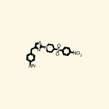 CCCc1ccc(Cc2csc(N3CCC(S(=O)(=O)c4ccc([N+](=O)[O-])cc4)CC3)n2)cc1